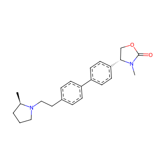 C[C@@H]1CCCN1CCc1ccc(-c2ccc([C@@H]3COC(=O)N3C)cc2)cc1